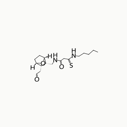 CCCCCNC(=S)CC(=O)NC[C@@H]1[C@H](CC=O)[C@@H]2CC[C@H]1O2